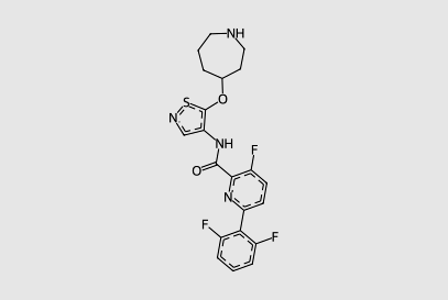 O=C(Nc1cnsc1OC1CCCNCC1)c1nc(-c2c(F)cccc2F)ccc1F